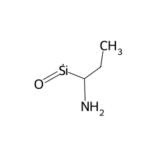 CCC(N)[Si]=O